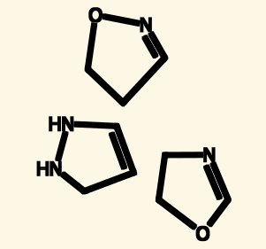 C1=CNNC1.C1=NCCO1.C1=NOCC1